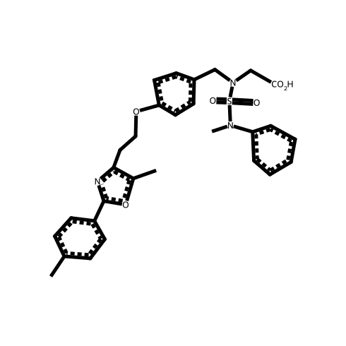 Cc1ccc(-c2nc(CCOc3ccc(CN(CC(=O)O)S(=O)(=O)N(C)c4ccccc4)cc3)c(C)o2)cc1